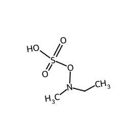 CCN(C)OS(=O)(=O)O